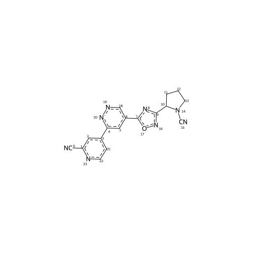 N#Cc1cc(-c2cc(-c3nc(C4CCCN4C#N)no3)cnn2)ccn1